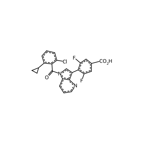 O=C(O)c1cc(F)c(-c2cn(C(=O)c3c(Cl)cccc3C3CC3)c3cccnc23)c(F)c1